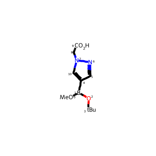 COB(OC(C)(C)C)c1cnn(CC(=O)O)c1